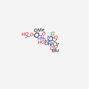 COc1cc(C(=O)NCC(O)(c2cc3c(c(Cl)n2)OC[C@]3(NC(=O)OC(C)(C)C)C2CC2)C(F)(F)F)ccc1OC[C@@H](C)O